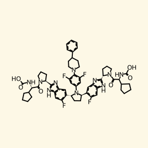 O=C(O)N[C@H](C(=O)N1CCC[C@H]1c1nc2cc([C@H]3CC[C@H](c4cc5nc([C@@H]6CCCN6C(=O)[C@@H](NC(=O)O)C6CCCC6)[nH]c5cc4F)N3c3cc(F)c(N4CCC(c5ccccc5)CC4)c(F)c3)c(F)cc2[nH]1)C1CCCC1